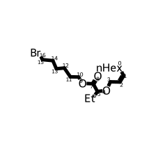 CCCCCC/C=C\COC(CC)C(=O)OCCCCCCBr